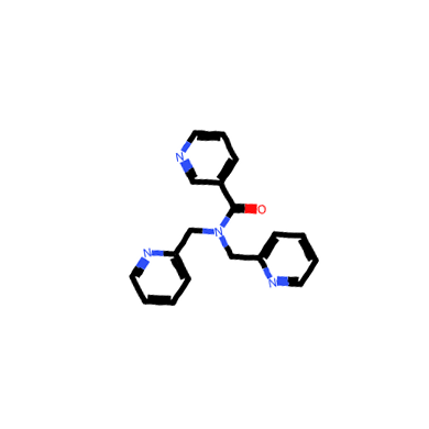 O=C(c1cccnc1)N(Cc1ccccn1)Cc1ccccn1